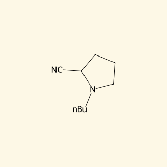 CCCCN1CCCC1C#N